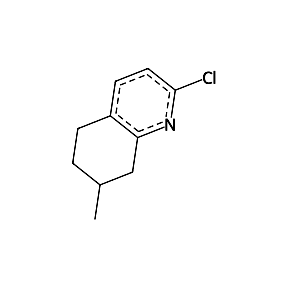 CC1CCc2ccc(Cl)nc2C1